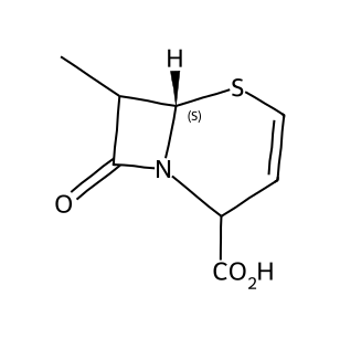 CC1C(=O)N2C(C(=O)O)C=CS[C@@H]12